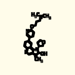 CN(C)CCCOc1ccc(-c2ccc3ncc4c(c3c2)N([C@@H]2CCOC2)C(O)N4C)cn1